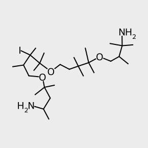 CC(N)CC(C)(C)OCC(C)C(C)(I)C(C)(C)OCCC(C)(C)C(C)(C)OCC(C)C(C)(C)N